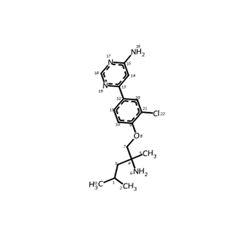 CC(C)CC(C)(N)COc1ccc(-c2cc(N)ncn2)cc1Cl